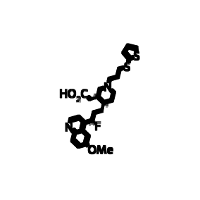 COc1ccc2nccc([C@@H](F)CC[C@@H]3CCN(CCCSc4cccs4)C[C@@H]3CC(=O)O)c2c1